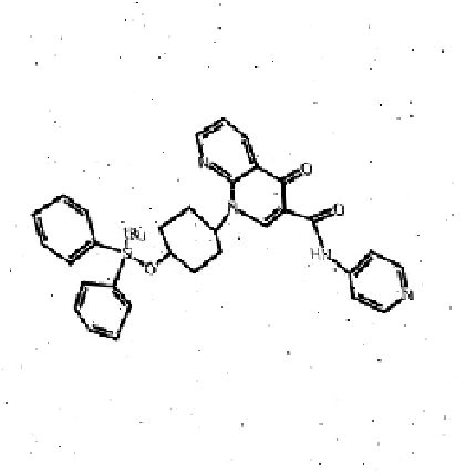 CC(C)(C)[Si](OC1CCC(n2cc(C(=O)Nc3ccncc3)c(=O)c3cccnc32)CC1)(c1ccccc1)c1ccccc1